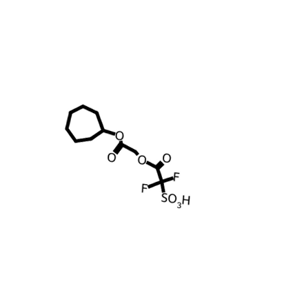 O=C(COC(=O)C(F)(F)S(=O)(=O)O)OC1CCCCCC1